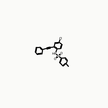 Cc1ccc(S(=O)(=O)Nc2ccc(Cl)cc2C#Cc2ccccc2)cc1